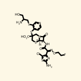 Nc1nc(C(=NOCCF)C(=O)N[C@@H]2C(=O)N3CC(Sc4ccncc4SCC(N)CO)(C(=O)O)CS[C@H]23)c(Cl)s1